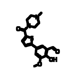 COc1cc(-c2ccc(C(=O)N3CCN(C)CC3)s2)cc(C=O)c1O